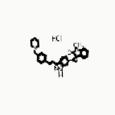 CN1C(=O)[C@@]2(C[C@H]2c2ccc3c(/C=C/c4ccc(CN5CCCCC5)cc4)n[nH]c3c2)c2ccccc21.Cl